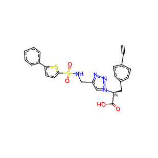 C#Cc1ccc(C[C@@H](C(=O)O)n2cc(CNS(=O)(=O)c3ccc(-c4ccccc4)s3)nn2)cc1